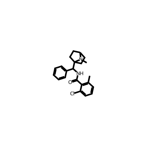 Cc1cccc(Cl)c1C(=O)NC(c1ccccc1)C12CCC(CC1)N2C